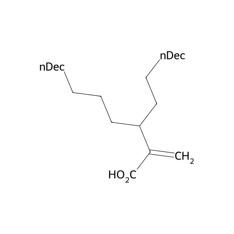 C=C(C(=O)O)C(CCCCCCCCCCCC)CCCCCCCCCCCCC